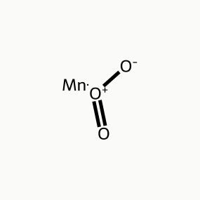 O=[O+][O-].[Mn]